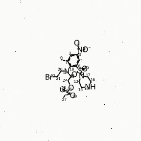 Cc1cc([N+](=O)[O-])cc(S(=O)(=O)N2CCNCC2)c1N(CCBr)CCOS(C)(=O)=O